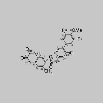 COc1c(F)cc(-c2ccc(NS(=O)(=O)c3cc4[nH]c(=O)c(=O)[nH]c4cc3C)cc2Cl)cc1F